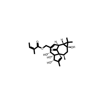 C/C=C(/C)C(=O)OCC1=C[C@@H]2C(=O)[C@]3(C=C(C)[C@H](O)[C@@]3(O)[C@@H]1O)[C@H](C)C[C@]1(O)[C@H]2C1(C)C